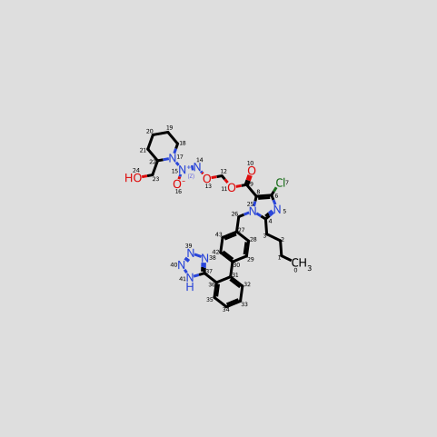 CCCCc1nc(Cl)c(C(=O)OCO/N=[N+](\[O-])N2CCCCC2CO)n1Cc1ccc(-c2ccccc2-c2nnn[nH]2)cc1